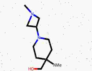 CNC1(CO)CCN(C2CN(C)C2)CC1